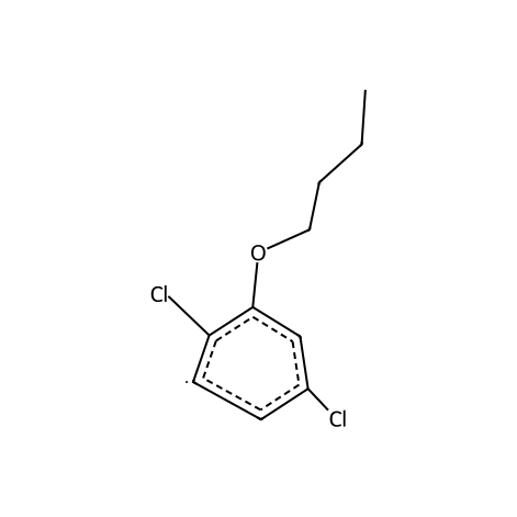 CCCCOc1cc(Cl)c[c]c1Cl